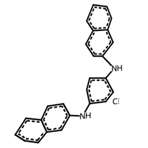 [C].c1ccc2cc(Nc3ccc(Nc4ccc5ccccc5c4)cc3)ccc2c1